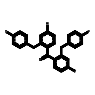 O=C(c1ccc(F)cc1Cc1ccc(F)cc1)c1ccc(F)cc1Cc1ccc(F)cc1